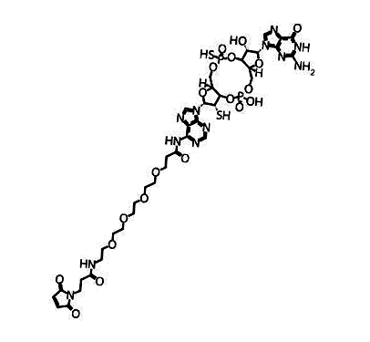 Nc1nc2c(ncn2[C@@H]2O[C@@H]3COP(=O)(O)OC4[C@@H](COP(=O)(S)OC3[C@@H]2O)O[C@@H](n2cnc3c(NC(=O)CCOCCOCCOCCOCCNC(=O)CCN5C(=O)C=CC5=O)ncnc32)[C@H]4S)c(=O)[nH]1